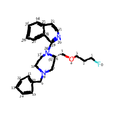 FCCCOC[C@@H]1CN(Cc2ccccc2)CCN1c1nccc2ccccc12